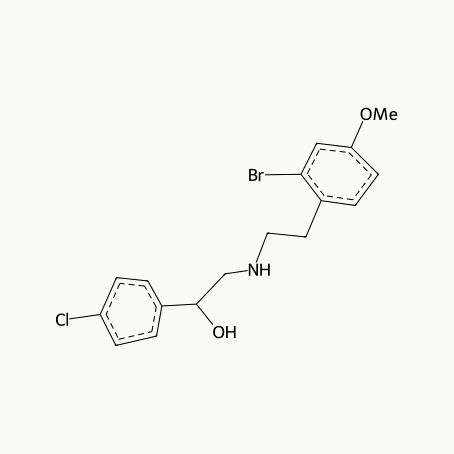 COc1ccc(CCNCC(O)c2ccc(Cl)cc2)c(Br)c1